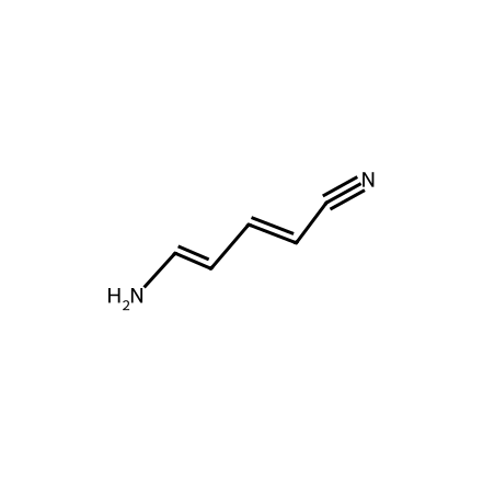 N#CC=CC=CN